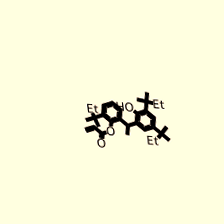 C=CC(=O)Oc1c(C(C)c2cc(C(C)(C)CC)cc(C(C)(C)CC)c2O)cccc1C(C)(C)CC